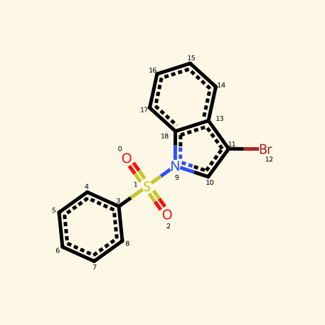 O=S(=O)(c1ccccc1)n1cc(Br)c2ccccc21